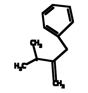 C=C(Cc1ccccc1)[C](C)C